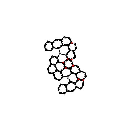 c1ccc2c(B(c3c4ccccc4cc4ccccc34)c3ccc4ccc5ccc(B(c6c7ccccc7cc7ccccc67)c6c7ccccc7cc7ccccc67)c6ccc3c4c56)c3ccccc3cc2c1